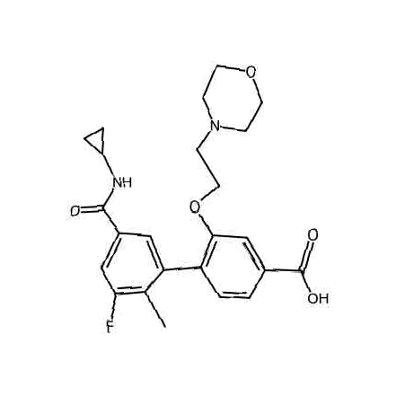 Cc1c(F)cc(C(=O)NC2CC2)cc1-c1ccc(C(=O)O)cc1OCCN1CCOCC1